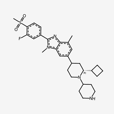 Cc1cc(C2CCN(C3CCNCC3)[C@@H](C3CCC3)C2)cc2c1nc(-c1ccc(S(C)(=O)=O)c(F)c1)n2C